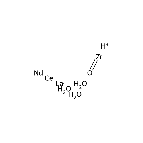 O.O.O.[Ce].[H+].[La].[Nd].[O]=[Zr]